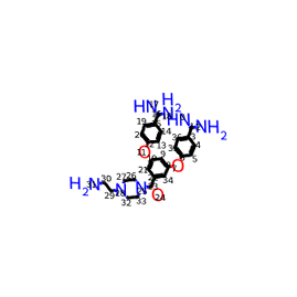 N=C(N)c1ccc(Oc2cc(Oc3ccc(C(=N)N)cc3)cc(C(=O)N3CCN(CCN)CC3)c2)cc1